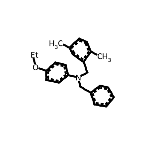 CCOc1ccc(N(Cc2ccccc2)Cc2cc(C)ccc2C)cc1